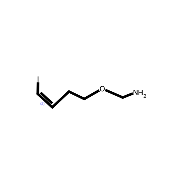 NCOCC/C=C\I